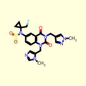 Cn1cc(Cn2c(=O)c3cc(N([SH](=O)=O)C4(CF)CC4)ccc3n(Cc3cncn3C)c2=O)cn1